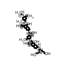 COc1cc(N=Nc2ccc3c(O)c(N=Nc4cc(OC)c(NC(C)=O)cc4C)c(S(=O)(=O)O)cc3c2)c(S(=O)(=O)O)cc1N=Nc1c(S(=O)(=O)O)cc2ccc(Nc3nc(CCO)nc(CCO)n3)cc2c1O